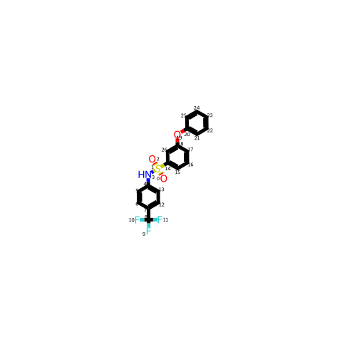 O=S(=O)(Nc1ccc(C(F)(F)F)cc1)c1cccc(Oc2ccccc2)c1